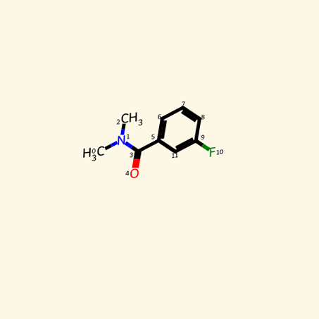 CN(C)C(=O)c1cccc(F)c1